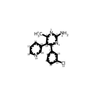 Cc1nc(N)nc(-c2cccc(Cl)c2)c1-c1cccnc1